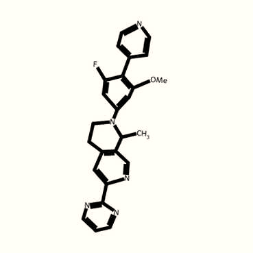 COc1cc(N2CCc3cc(-c4ncccn4)ncc3C2C)cc(F)c1-c1ccncc1